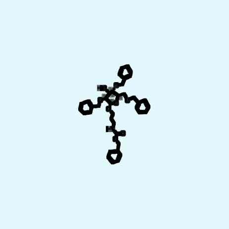 O=C(NCCCO[C@H]1O[C@H](COCc2ccccc2)[C@@H](OCc2ccccc2)[C@H](O)[C@@H]1OCc1ccccc1)OCc1ccccc1